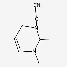 CC1N(C)C=CCN1CC#N